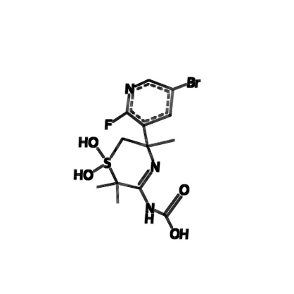 CC1(c2cc(Br)cnc2F)CS(O)(O)C(C)(C)C(NC(=O)O)=N1